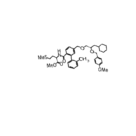 COC(=O)C(CCSC)NC(=O)c1ccc(COCC(CC2CCCCC2)OCc2ccc(OC)cc2)cc1-c1ccccc1C